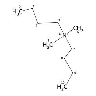 CCCC[N+](C)(C)CCCC